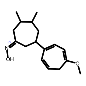 COC1=CC=C(C2C/C(=N\O)CC(C)C(C)C2)C=CC1